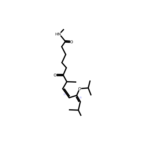 CNC(=O)CCCCC(=O)C(C)/C=C\C(=C/C(C)C)OC(C)C